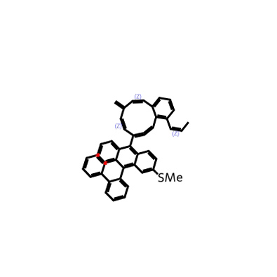 C=C1/C=C\C(c2c3ccccc3c(-c3ccccc3-c3ccccc3)c3cc(SC)ccc23)=C=Cc2c(/C=C\C)cccc2/C=C\1